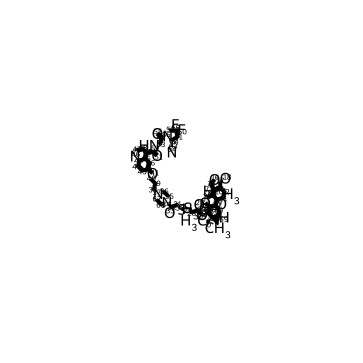 CC(C)[C@]12C[C@H]1[C@@H]1O[C@@]13[C@@]1(C)CCC4=C(COC4=O)[C@@H]1CO[C@]3(C)[C@@H]2OC(=O)CSSCC(=O)N1CCN(CCCOc2ccc3nccc(C(=O)NCC(=O)N4CC(F)(F)C[C@H]4C#N)c3c2)CC1